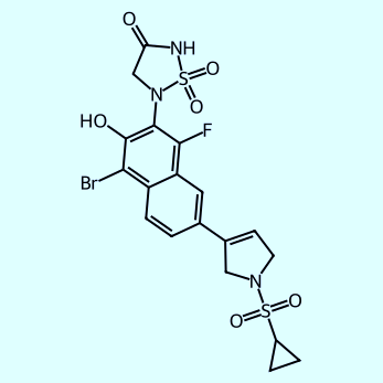 O=C1CN(c2c(O)c(Br)c3ccc(C4=CCN(S(=O)(=O)C5CC5)C4)cc3c2F)S(=O)(=O)N1